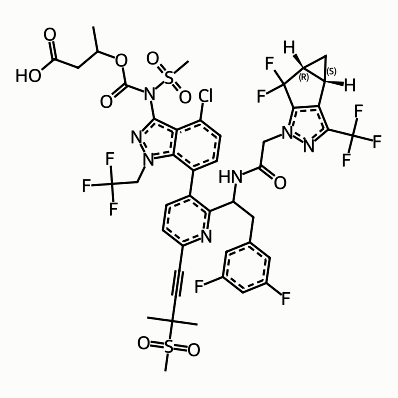 CC(CC(=O)O)OC(=O)N(c1nn(CC(F)(F)F)c2c(-c3ccc(C#CC(C)(C)S(C)(=O)=O)nc3C(Cc3cc(F)cc(F)c3)NC(=O)Cn3nc(C(F)(F)F)c4c3C(F)(F)[C@@H]3C[C@H]43)ccc(Cl)c12)S(C)(=O)=O